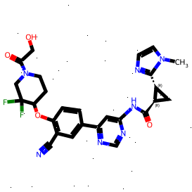 Cn1ccnc1[C@@H]1C[C@H]1C(=O)Nc1cc(-c2ccc(OC3CCN(C(=O)CO)CC3(F)F)c(C#N)c2)ncn1